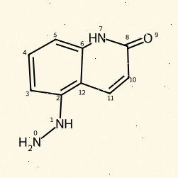 NNc1cccc2[nH]c(=O)ccc12